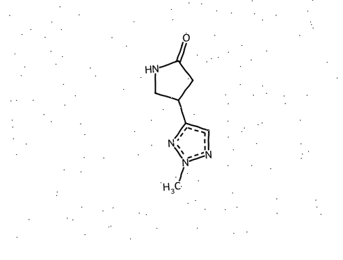 Cn1ncc(C2CNC(=O)C2)n1